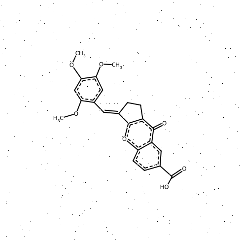 COc1cc(OC)c(OC)cc1C=C1CCc2c1oc1ccc(C(=O)O)cc1c2=O